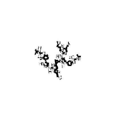 COCc1cn2c(Nc3cc([C@@H]4CC[C@H](OC(=O)NC(C)C)[C@H]4F)[nH]n3)nc(C3CC3[n+]3[nH]c([C@@H]4CC[C@H](OC(=O)NC(C)C)[C@H]4F)cc3Nc3ncc(C#N)c4nc(COC)cn34)cc2n1